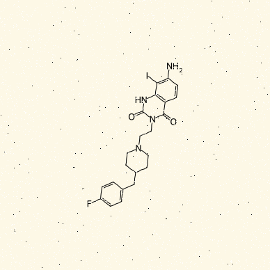 Nc1ccc2c(=O)n(CCN3CCC(Cc4ccc(F)cc4)CC3)c(=O)[nH]c2c1I